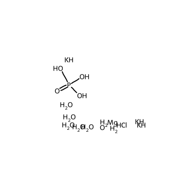 Cl.O.O.O.O.O.O.O=P(O)(O)O.[KH].[KH].[KH].[MgH2]